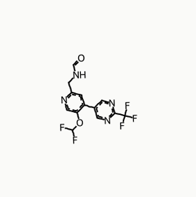 O=CNCc1cc(-c2cnc(C(F)(F)F)nc2)c(OC(F)F)cn1